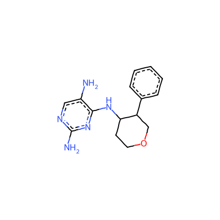 Nc1ncc(N)c(NC2CCOCC2c2ccccc2)n1